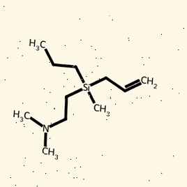 C=CC[Si](C)(CCC)CCN(C)C